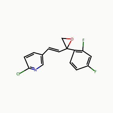 Fc1ccc(C2(C=Cc3ccc(Cl)nc3)CO2)c(F)c1